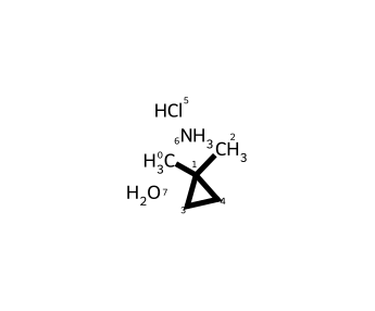 CC1(C)CC1.Cl.N.O